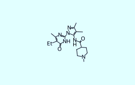 CCc1c(C)nc(-n2nc(C)c(C)c2NC(=O)C2CCN(C)CC2)[nH]c1=O